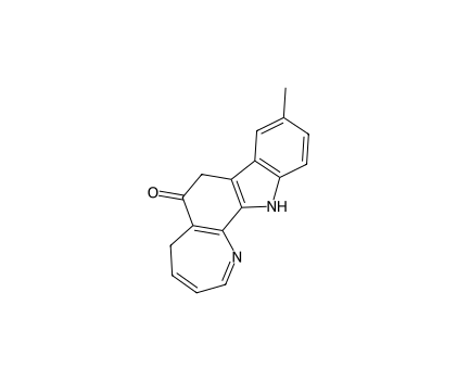 Cc1ccc2[nH]c3c(c2c1)CC(=O)C1=C3N=CC=CC1